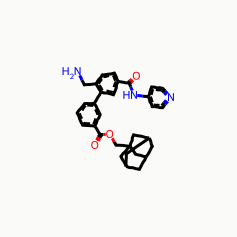 NCc1ccc(C(=O)Nc2ccncc2)cc1-c1cccc(C(=O)OCC23CC4CC(CC(C4)C2)C3)c1